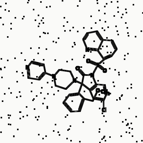 COCc1ccccc1C1(N2CCN(c3ccncc3)CC2)C(=O)N(S(=O)(=O)c2cccc3cccnc23)c2ccc(Cl)cc21